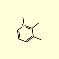 CC1=CC=[CH][Ge]([CH3])=[C]1C